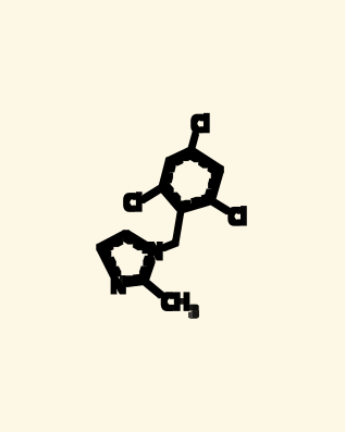 Cc1nccn1Cc1c(Cl)cc(Cl)cc1Cl